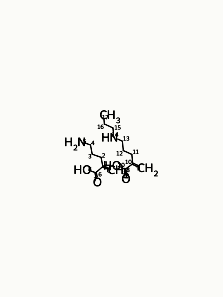 C=C(CCCN)C(=O)O.C=C(CCCNCCC)C(=O)O